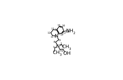 CC[N+](CC)(CCO)CCN1CCCc2ccc(N)cc21